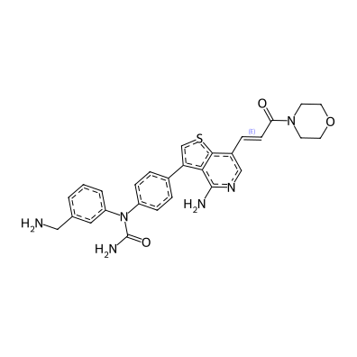 NCc1cccc(N(C(N)=O)c2ccc(-c3csc4c(/C=C/C(=O)N5CCOCC5)cnc(N)c34)cc2)c1